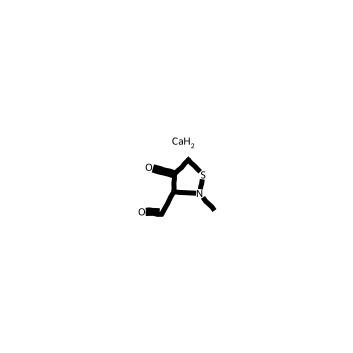 CN1SCC(=O)C1C=O.[CaH2]